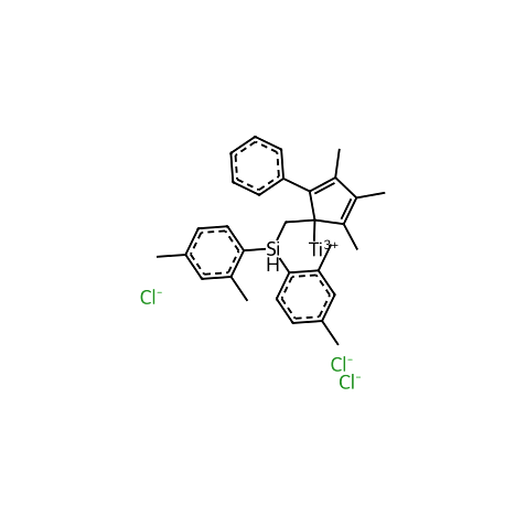 CC1=C(C)[C]([Ti+3])(C[SiH](c2ccc(C)cc2C)c2ccc(C)cc2C)C(c2ccccc2)=C1C.[Cl-].[Cl-].[Cl-]